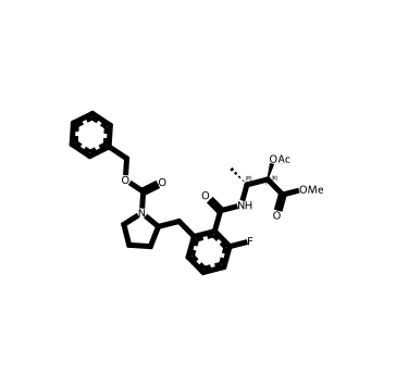 COC(=O)[C@H](OC(C)=O)[C@@H](C)NC(=O)c1c(F)cccc1CC1CCCN1C(=O)OCc1ccccc1